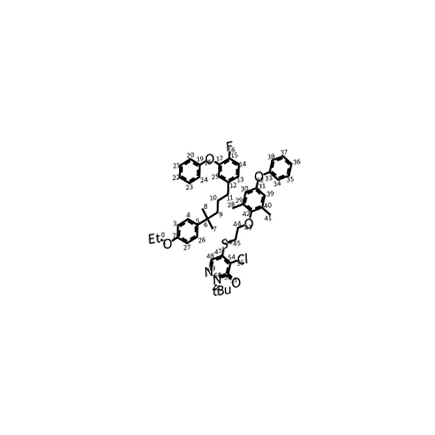 CCOc1ccc(C(C)(C)CCCc2ccc(F)c(Oc3ccccc3)c2)cc1.Cc1cc(Oc2ccccc2)cc(C)c1OCCSc1cnn(C(C)(C)C)c(=O)c1Cl